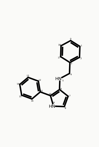 c1ccc(CNc2cc[nH]c2-c2ccccc2)cc1